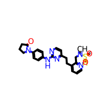 CN(Cc1ncccc1CCc1ccnc(Nc2ccc(N3CCCC3=O)cc2)n1)[SH](=O)=O